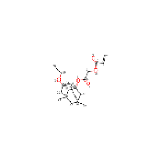 C=CC(=O)OCC(=O)OC12CC3(C)CC(C)(CC(OCC)(C3)C1)C2